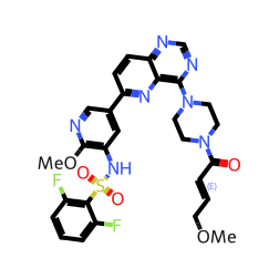 COC/C=C/C(=O)N1CCN(c2ncnc3ccc(-c4cnc(OC)c(NS(=O)(=O)c5c(F)cccc5F)c4)nc23)CC1